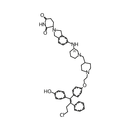 O=C1CCC(N2Cc3ccc(N[C@@H]4CCCN(CC5CCN(CCOc6ccc(C(=C(CCCl)c7ccccc7)c7ccc(O)cc7)cc6)CC5)C4)cc3C2)C(=O)N1